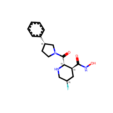 O=C(NO)[C@H]1C[C@@H](F)CN[C@@H]1C(=O)N1CC[C@H](c2ccccc2)C1